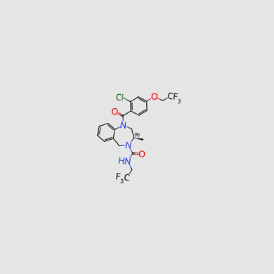 C[C@@H]1CN(C(=O)c2ccc(OCC(F)(F)F)cc2Cl)c2ccccc2CN1C(=O)NCC(F)(F)F